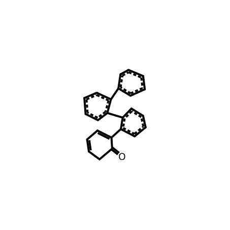 O=C1CC=CC=C1c1ccccc1-c1ccccc1-c1ccccc1